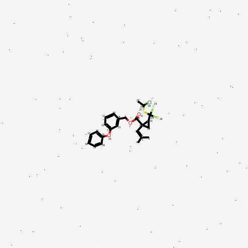 CC(C)=CC1(C(=O)OCc2cccc(Oc3ccccc3)c2)CC1C(F)(F)SC(C)Cl